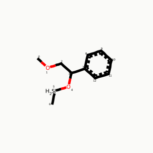 COCC(O[SiH2]C)c1ccccc1